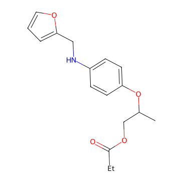 CCC(=O)OCC(C)Oc1ccc(NCc2ccco2)cc1